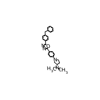 CN(C)C1CCN(c2ccc(-c3nnc(-c4ccc(Cc5ccccc5)cc4)o3)cc2)C1